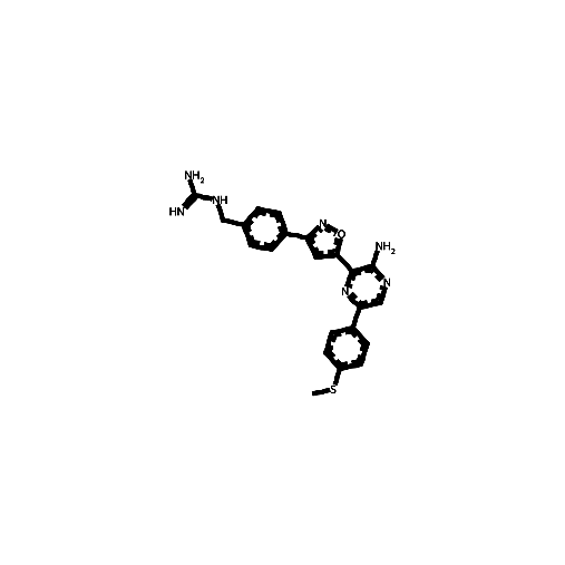 CSc1ccc(-c2cnc(N)c(-c3cc(-c4ccc(CNC(=N)N)cc4)no3)n2)cc1